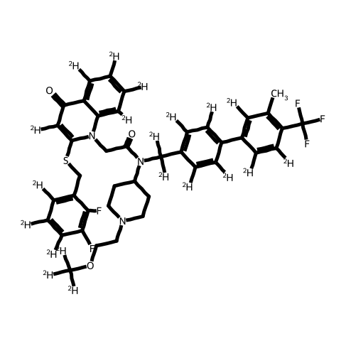 [2H]c1c([2H])c(F)c(F)c(CSc2c([2H])c(=O)c3c([2H])c([2H])c([2H])c([2H])c3n2CC(=O)N(C2CCN(CCOC([2H])([2H])[2H])CC2)C([2H])([2H])c2c([2H])c([2H])c(-c3c([2H])c([2H])c(C(F)(F)F)c(C)c3[2H])c([2H])c2[2H])c1[2H]